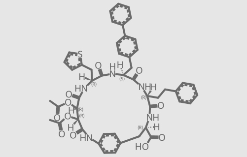 CC(=O)O[C@H]1C(=O)Nc2ccc(cc2)C[C@H](C(=O)O)NC(=O)[C@@H](CCc2ccccc2)NC(=O)[C@H](Cc2ccc(-c3ccccc3)cc2)NC(=O)[C@@H](Cc2cccs2)NC(=O)[C@@H]1OC(C)=O